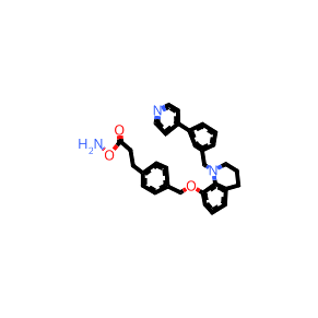 NOC(=O)CCc1ccc(COc2cccc3c2N(Cc2cccc(-c4ccncc4)c2)CCC3)cc1